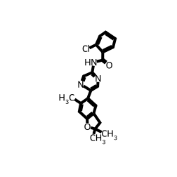 Cc1cc2c(cc1-c1cnc(NC(=O)c3ccccc3Cl)cn1)CC(C)(C)O2